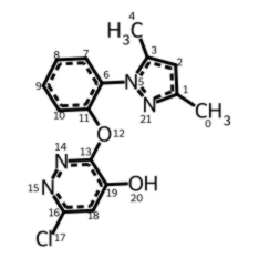 Cc1cc(C)n(-c2ccccc2Oc2nnc(Cl)cc2O)n1